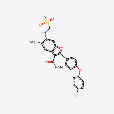 CNC(=O)c1c(-c2ccc(Oc3ccc(F)cc3)cc2)oc2cc(NCS(C)(=O)=O)c(OC)cc12